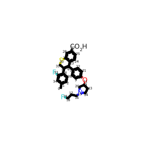 Cc1ccc(C2=C(c3ccc(O[C@H]4CCN(CCCF)C4)cc3)c3ccc(C(=O)O)cc3SC2)c(F)c1